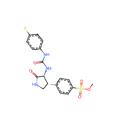 COS(=O)(=O)c1ccc([C@@H]2CNC(=O)[C@H]2NC(=O)Nc2ccc(F)cc2)cc1